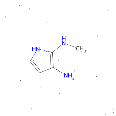 CNc1[nH]ccc1N